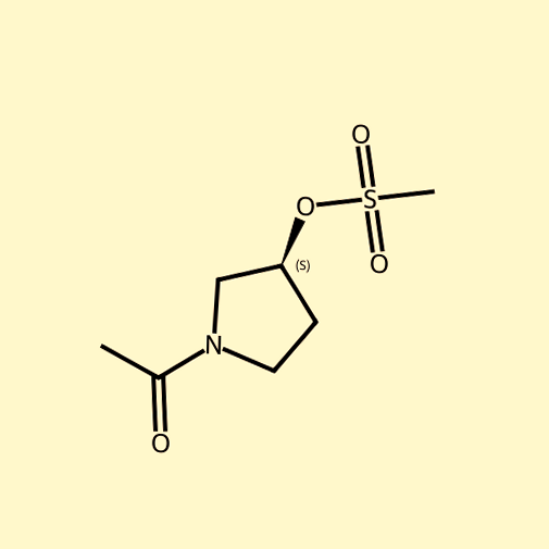 CC(=O)N1CC[C@H](OS(C)(=O)=O)C1